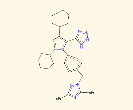 CCCc1nc(CCC)n(Cc2ccc(-n3c(C4CCCCC4)cc(C4CCCCC4)c3-c3nnn[nH]3)cc2)n1